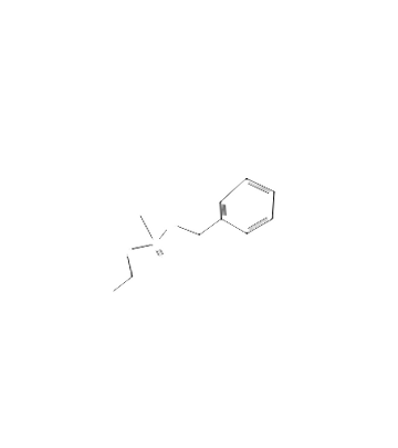 CCOP(C)(=O)OCc1ccccc1